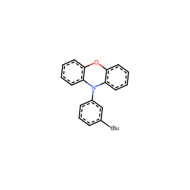 CC(C)(C)c1cccc(N2c3ccccc3Oc3ccccc32)c1